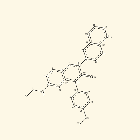 CCOc1ccc2cn(-c3ccc4ncccc4c3)c(=O)c(-c3ccc(CC)cc3)c2n1